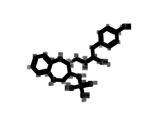 CC(Cc1ccc(O)cc1)NC[C@H]1Oc2ccccc2OCC1OP(=O)(O)O